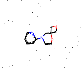 [c]1ccnc(N2CCOC3(COC3)C2)c1